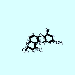 Oc1cc(Br)c(Oc2ccc3nc(Cl)cc(Cl)c3c2)c(Br)c1